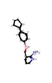 Nc1ncccc1COc1ccc(C2CCCC2)cc1